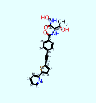 C[C@@H](O)[C@H](NC(=O)c1ccc(C#Cc2ccc(-c3ccccn3)s2)cc1)C(=O)NO